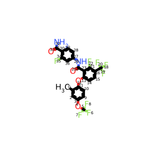 Cc1cc(OC(F)(F)F)ccc1Oc1ccc(C(F)(F)F)c(F)c1C(=O)Nc1ccc(C(N)=O)c(F)c1